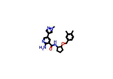 Cc1ccc(COC2CCCC2NC(=O)c2cc(-c3cnn(C)c3)cnc2N)cc1C